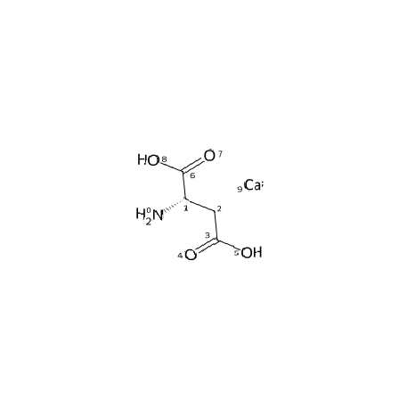 N[C@@H](CC(=O)O)C(=O)O.[Ca]